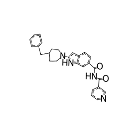 O=C(NC(=O)c1ccc2cc(N3CCC(Cc4ccccc4)CC3)[nH]c2c1)c1cccnc1